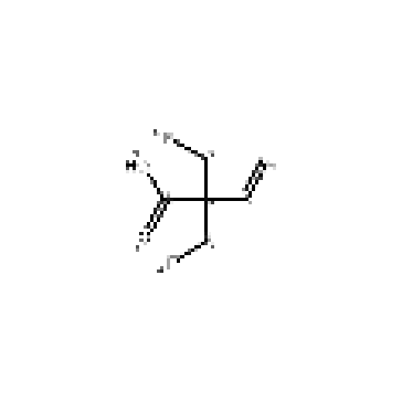 C=CC(CF)(CF)C(=O)O